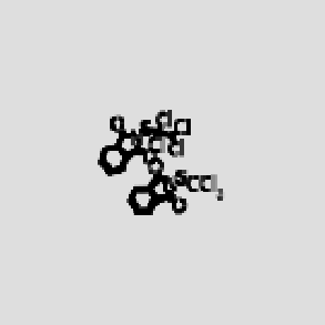 O=C1C2CC=CCC2C(=O)N1SC(Cl)(Cl)C(Cl)Cl.O=C1c2ccccc2C(=O)N1SC(Cl)(Cl)Cl